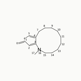 C=C/C=C1\C(=C/C)CCCCCCCCCN1C